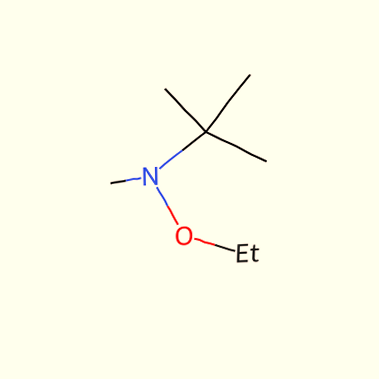 CCON(C)C(C)(C)C